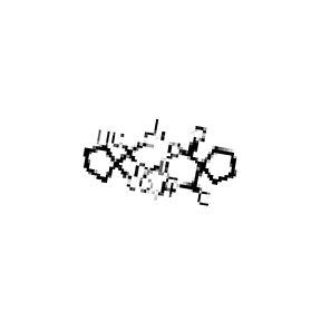 CC(O)(OB1OC(=O)C2(CCCC2)C(=O)O1)C1(C(=O)O)CCCC1